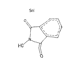 O=C1c2ccccc2C(=O)N1O.[Sn]